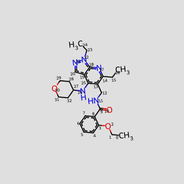 CCOc1ccccc1C(=O)NCc1c(CC)nc2c(cnn2CC)c1NC1CCOCC1